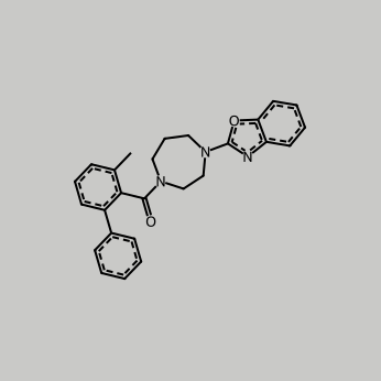 Cc1cccc(-c2ccccc2)c1C(=O)N1CCCN(c2nc3ccccc3o2)CC1